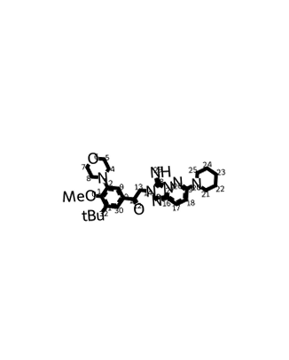 COc1c(N2CCOCC2)cc(C(=O)Cn2nc3ccc(N4CCCCC4)nn3c2=N)cc1C(C)(C)C